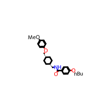 CCCCOc1ccc(C(=O)NC[C@H]2CC[C@@H](COc3ccc(OC)cc3)CC2)cc1